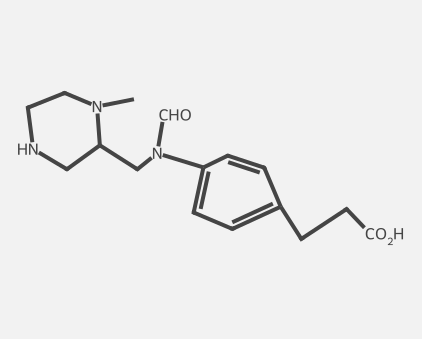 CN1CCNCC1CN(C=O)c1ccc(CCC(=O)O)cc1